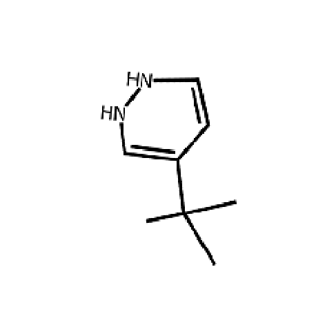 CC(C)(C)C1=CNNC=C1